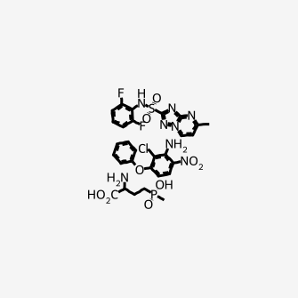 CP(=O)(O)CCC(N)C(=O)O.Cc1ccn2nc(S(=O)(=O)Nc3c(F)cccc3F)nc2n1.Nc1c([N+](=O)[O-])ccc(Oc2ccccc2)c1Cl